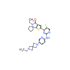 CCN1CC2(C1)CN(c1ccc(Nc3ncc(F)c(-c4cc5c(s4)C4(CCCC4)N(CC)C5=O)n3)nc1)C2